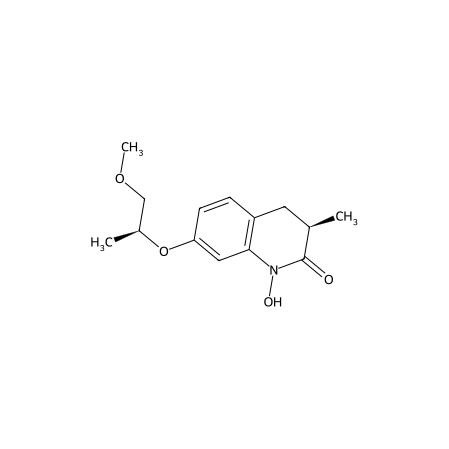 COC[C@H](C)Oc1ccc2c(c1)N(O)C(=O)[C@H](C)C2